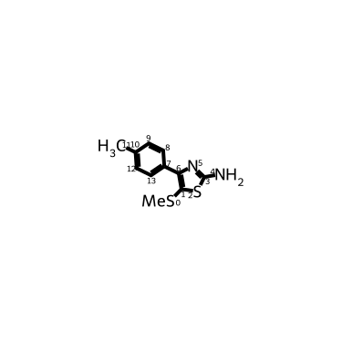 CSc1sc(N)nc1-c1ccc(C)cc1